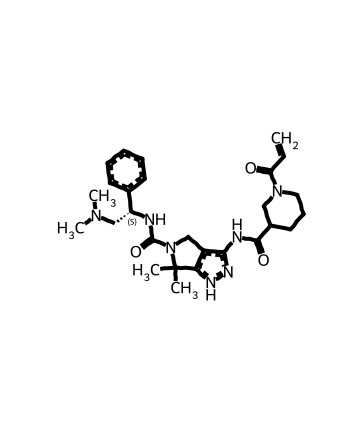 C=CC(=O)N1CCCC(C(=O)Nc2n[nH]c3c2CN(C(=O)N[C@H](CN(C)C)c2ccccc2)C3(C)C)C1